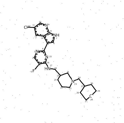 Fc1cnc(-c2c[nH]c3ncc(Cl)cc23)nc1NCC1CCCN(CC2CCCCC2)C1